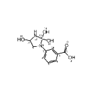 O=C(O)c1cccc(N2CC(O)NS2(O)O)c1